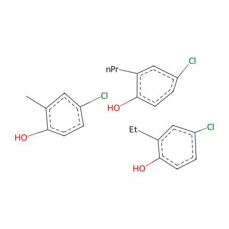 CCCc1cc(Cl)ccc1O.CCc1cc(Cl)ccc1O.Cc1cc(Cl)ccc1O